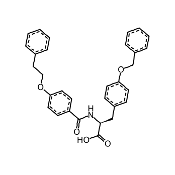 O=C(N[C@@H](Cc1ccc(OCc2ccccc2)cc1)C(=O)O)c1ccc(OCCc2ccccc2)cc1